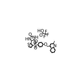 Cc1cc(COc2ccc(S(=O)(=O)c3ccsc3C3NC(=O)NC3=O)cc2)c2ccccc2n1.O=C(O)C(F)(F)F